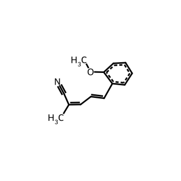 COc1ccccc1/C=C/C=C(/C)C#N